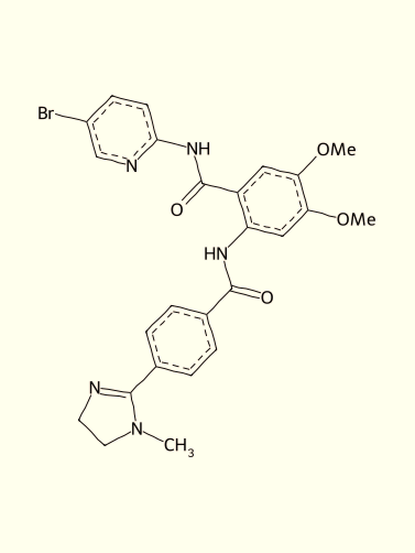 COc1cc(NC(=O)c2ccc(C3=NCCN3C)cc2)c(C(=O)Nc2ccc(Br)cn2)cc1OC